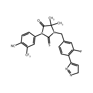 CC1(C)C(=O)N(c2ccc(C#N)c(C(F)(F)F)c2)C(=S)N1Cc1ccc(C2=CCN=N2)c(F)c1